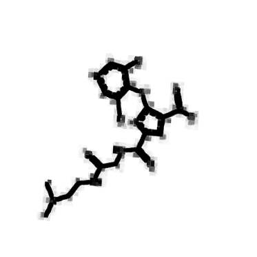 CN(C)CCNC(=O)CNC(=O)c1cc([N+](=O)[O-])c(Sc2c(Cl)cncc2Cl)s1